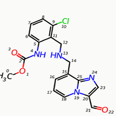 COC(=O)Nc1cccc(Cl)c1CNCc1cccn2c(C=O)cnc12